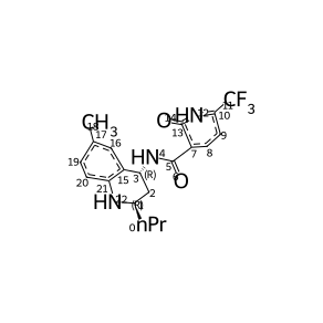 CCC[C@@H]1C[C@@H](NC(=O)c2ccc(C(F)(F)F)[nH]c2=O)c2cc(C)ccc2N1